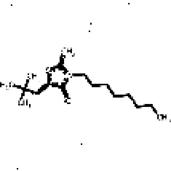 C=c1s/c(=C\C(C)(C)C)c(=O)n1CCCCCCCC